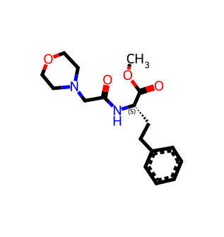 COC(=O)[C@H](CCc1ccccc1)NC(=O)CN1CCOCC1